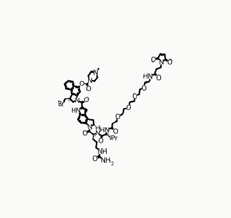 CC(C)[C@H](NC(=O)CCOCCOCCOCCOCCNC(=O)CCN1C(=O)C=CC1=O)C(=O)N[C@@H](CCCNC(N)=O)C(=O)N1CCc2c1ccc1[nH]c(C(=O)N3C[C@@H](CBr)c4c3cc(OC(=O)N3CCN(C)CC3)c3ccccc43)cc21